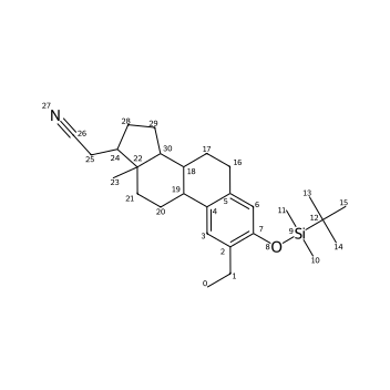 CCc1cc2c(cc1O[Si](C)(C)C(C)(C)C)CCC1C2CCC2(C)C(CC#N)CCC12